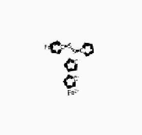 [Fe+2].[Fe+2].c1cc[c-](SS[c-]2cccc2)c1.c1cc[cH-]c1.c1cc[cH-]c1